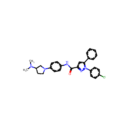 CN(C)C1CCN(c2ccc(NC(=O)c3cc(-c4ccccc4)n(-c4ccc(Cl)cc4)n3)cc2)C1